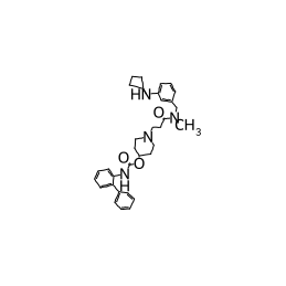 CN(Cc1cccc(NC2CCC2)c1)C(=O)CCN1CCC(OC(=O)Nc2ccccc2-c2ccccc2)CC1